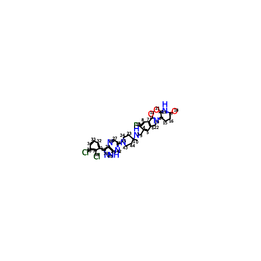 CC1(NCc2cc3c(cc2F)C(=O)N(C2CCC(=O)NC2=O)C3)CCN(c2cnc3c(-c4cccc(Cl)c4Cl)n[nH]c3n2)CC1